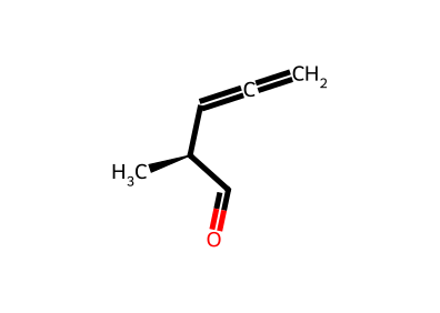 C=C=C[C@H](C)C=O